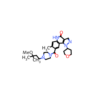 COC(C)(C)CCN1CCN(C(=O)c2cc3c(cc2C)[nH]c(=O)c2cnn(C4CCOCC4)c23)CC1